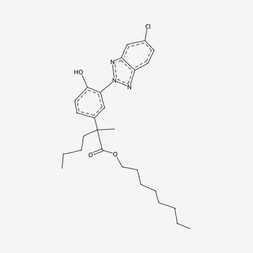 CCCCCCCCOC(=O)C(C)(CCCC)c1ccc(O)c(-n2nc3ccc(Cl)cc3n2)c1